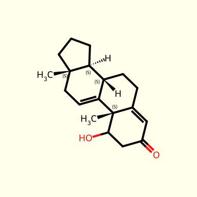 C[C@@]12C(=CC(=O)CC1O)CC[C@@H]1C2=CC[C@]2(C)CCC[C@@H]12